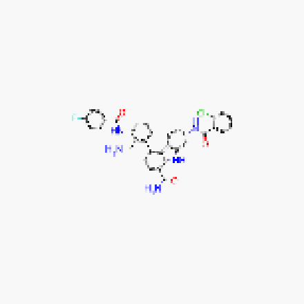 NCc1c(NC(=O)c2ccc(F)cc2)cccc1-c1ccc(C(N)=O)c2[nH]c3cc(NC(=O)c4ccccc4Cl)ccc3c12